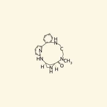 CN1CCCNc2ccccc2-c2cccc(n2)N[C@@H]2CN[C@@H](C2)C1=O